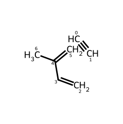 C#C.C=CC(=C)C